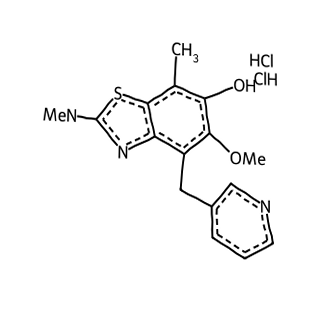 CNc1nc2c(Cc3cccnc3)c(OC)c(O)c(C)c2s1.Cl.Cl